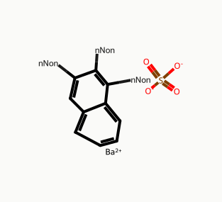 CCCCCCCCCc1cc2ccccc2c(CCCCCCCCC)c1CCCCCCCCC.O=S(=O)([O-])[O-].[Ba+2]